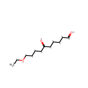 CCOCCCCC(=O)CCCC[C]=O